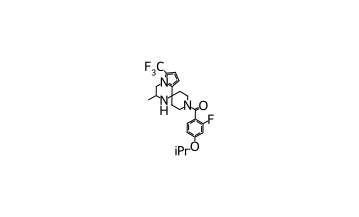 CC1Cn2c(C(F)(F)F)ccc2C2(CCN(C(=O)c3ccc(OC(C)C)cc3F)CC2)N1